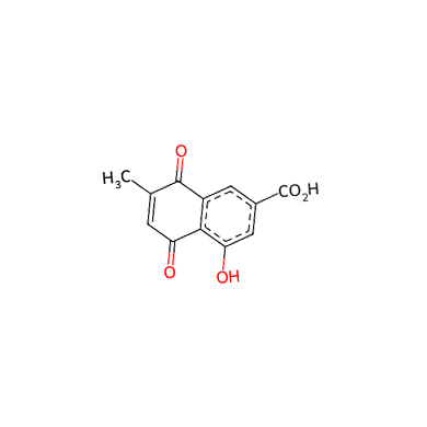 CC1=CC(=O)c2c(O)cc(C(=O)O)cc2C1=O